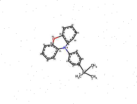 C[Si](C)(C)c1ccc(N2c3ccccc3Oc3ccccc32)cc1